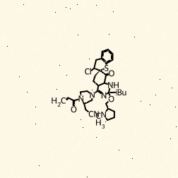 C=CC(=O)N1CCN(C2=NC(OCC3CCCN3C)(C(C)CC)NC3C(=O)[C@@]4(CCC23)Sc2ccccc2CC4Cl)CC1CC#N